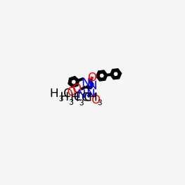 COc1cccc(Cn2c(Oc3ccc(-c4ccccc4)cc3)nc(N(C)C=O)c2C(=O)N(C)C)c1